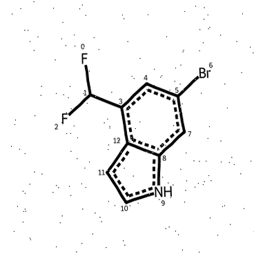 FC(F)c1cc(Br)cc2[nH]ccc12